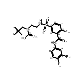 CC(C)(C)CN(CCNS(=O)(=O)c1ccc(F)c(C(=O)Nc2ccc(F)c(F)c2)c1)C(=O)O